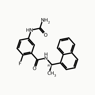 C[C@@H](NC(=O)c1cc(NC(N)=O)ccc1F)c1cccc2ccccc12